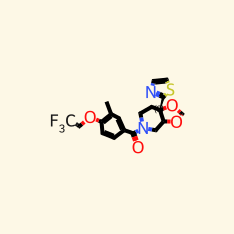 Cc1cc(C(=O)N2CC[C@]3(c4nccs4)OCOC3C2)ccc1OCC(F)(F)F